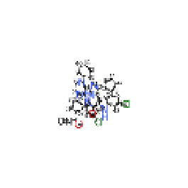 CC(c1ccc(Cl)cc1)n1cnc(-c2ccccc2)c1-c1c(C(=O)Nc2cc(C(=O)N=O)ccc2N2CCN(C3CCCCC3)CC2)[nH]c2cc(Cl)ccc12